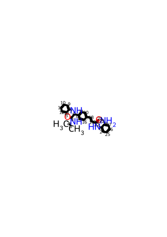 CC(C)NC(=O)C(Nc1ccccc1)c1ccc(C=CC(=O)Nc2ccccc2N)cc1